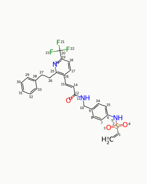 C=CS(=O)(=O)Nc1ccc(CNC(=O)C=Cc2ccc(C(F)(F)F)nc2CCc2ccccc2)cc1